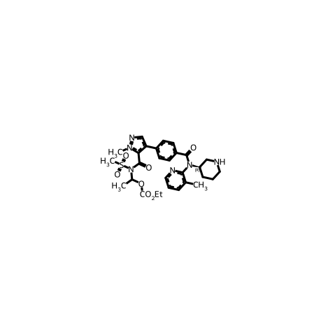 CCOC(=O)OC(C)N(C(=O)c1c(-c2ccc(C(=O)N(c3ncccc3C)[C@@H]3CCCNC3)cc2)cnn1C)S(C)(=O)=O